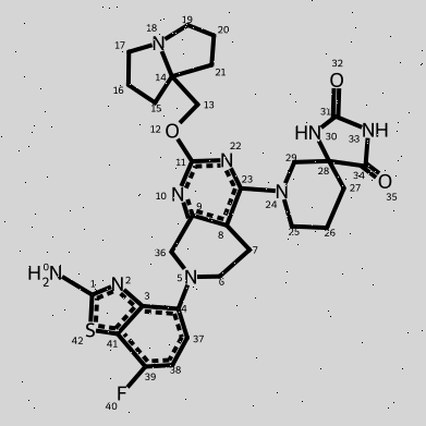 Nc1nc2c(N3CCc4c(nc(OCC56CCCN5CCC6)nc4N4CCCC5(C4)NC(=O)NC5=O)C3)ccc(F)c2s1